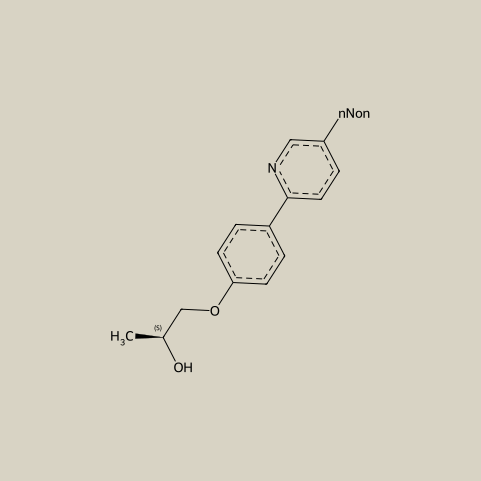 CCCCCCCCCc1ccc(-c2ccc(OC[C@H](C)O)cc2)nc1